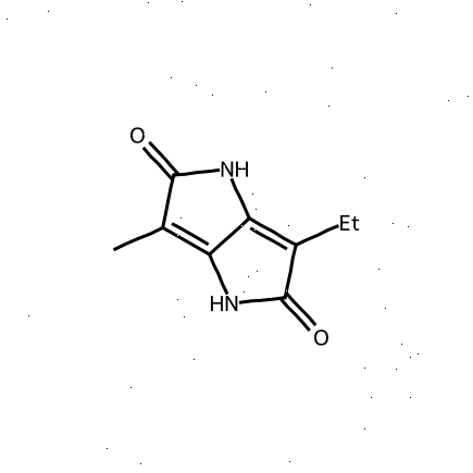 CCC1=C2NC(=O)C(C)=C2NC1=O